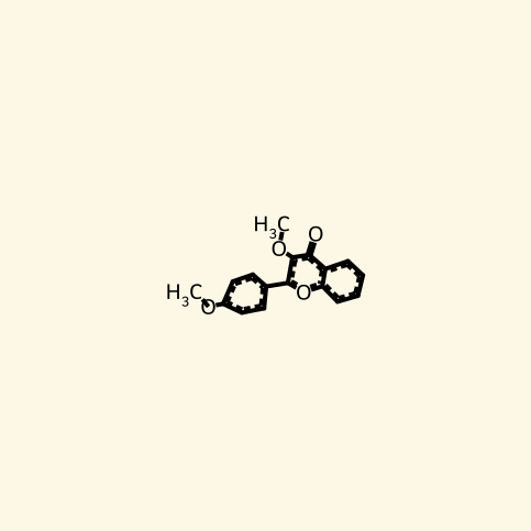 COc1ccc(-c2oc3ccccc3c(=O)c2OC)cc1